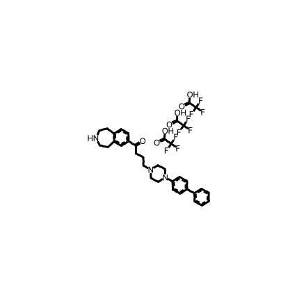 O=C(CCCN1CCN(c2ccc(-c3ccccc3)cc2)CC1)c1ccc2c(c1)CCNCC2.O=C(O)C(F)(F)F.O=C(O)C(F)(F)F.O=C(O)C(F)(F)F